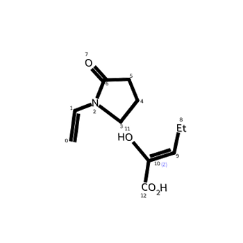 C=CN1CCCC1=O.CC/C=C(\O)C(=O)O